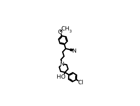 COc1ccc(C(C#N)CCCN2CCC(O)(c3ccc(Cl)cc3)CC2)cc1